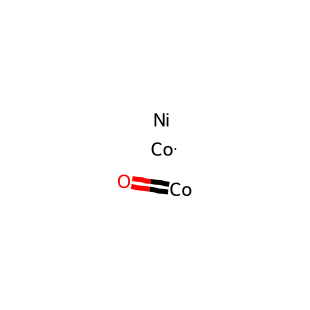 [Co].[Ni].[O]=[Co]